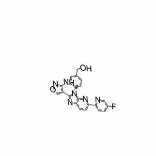 Nc1nocc1-c1nc2ccc(-c3ccc(F)cn3)nc2n1-c1ccc(CO)cc1